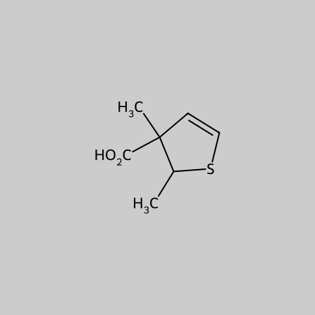 CC1SC=CC1(C)C(=O)O